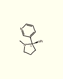 CCC[C@@]1(c2cccnc2)CCCN1C